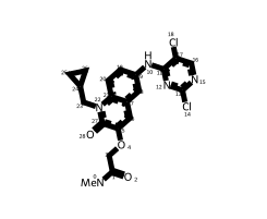 CNC(=O)COc1cc2cc(Nc3nc(Cl)ncc3Cl)ccc2n(CC2CC2)c1=O